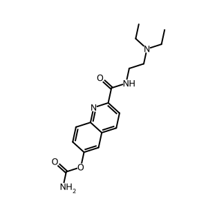 CCN(CC)CCNC(=O)c1ccc2cc(OC(N)=O)ccc2n1